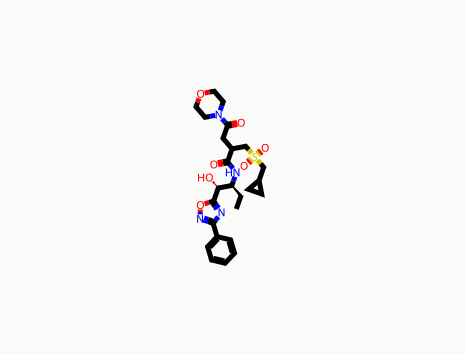 CC[C@H](NC(=O)C(CC(=O)N1CCOCC1)CS(=O)(=O)CC1CC1)[C@@H](O)c1nc(-c2ccccc2)no1